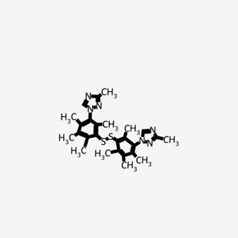 Cc1ncn(-c2c(C)c(C)c(C)c(SSc3c(C)c(C)c(C)c(-n4cnc(C)n4)c3C)c2C)n1